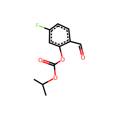 CC(C)OC(=O)Oc1cc(F)ccc1C=O